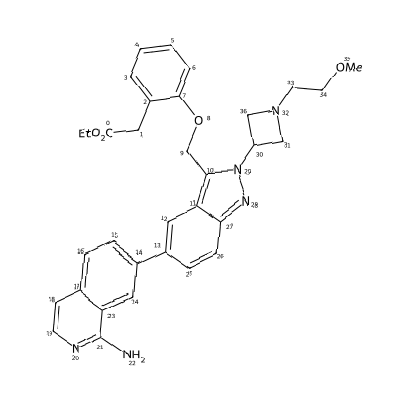 CCOC(=O)Cc1ccccc1OCc1c2cc(-c3ccc4ccnc(N)c4c3)ccc2nn1C1CN(CCOC)C1